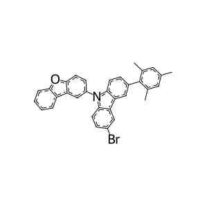 Cc1cc(C)c(-c2ccc3c(c2)c2cc(Br)ccc2n3-c2ccc3oc4ccccc4c3c2)c(C)c1